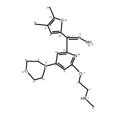 CNCCOc1cc(N2CCOCC2)cc(/C(=N\N)c2cc(C)c(C)o2)n1